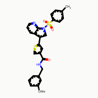 COc1cccc(CNC(=O)c2csc(-c3cn(S(=O)(=O)c4ccc(C)cc4)c4ncccc34)c2)c1